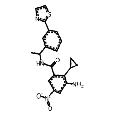 CC(NC(=O)c1cc([N+](=O)[O-])cc(N)c1C1CC1)c1cccc(-c2nccs2)c1